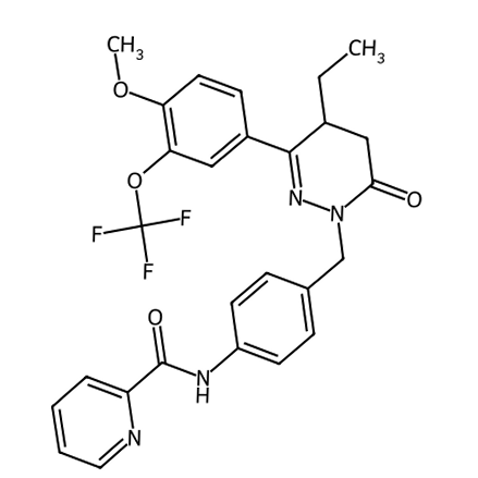 CCC1CC(=O)N(Cc2ccc(NC(=O)c3ccccn3)cc2)N=C1c1ccc(OC)c(OC(F)(F)F)c1